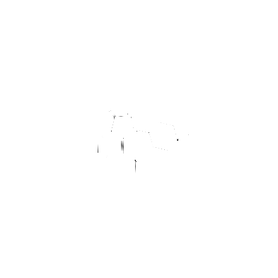 CC(=O)c1cc(C)cc2c(=O)n(C)n(C3CCC(F)(F)CC3)c12